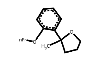 CCCOc1ccccc1C1(C)CCCO1